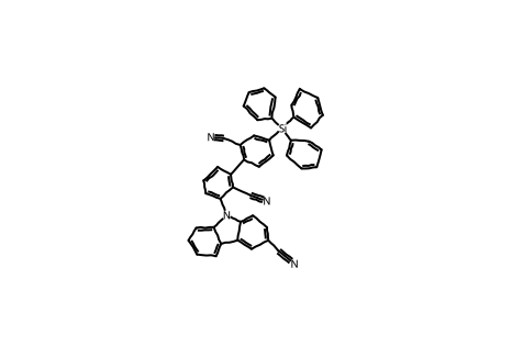 N#Cc1ccc2c(c1)c1ccccc1n2-c1cccc(-c2ccc([Si](c3ccccc3)(c3ccccc3)c3ccccc3)cc2C#N)c1C#N